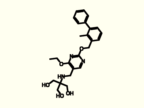 CCOc1nc(OCc2cccc(-c3ccccc3)c2C)ncc1CNC(CO)(CO)CO